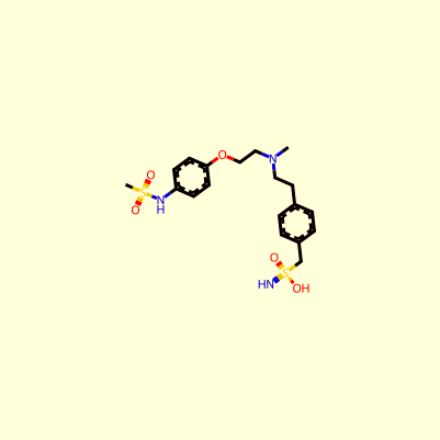 CN(CCOc1ccc(NS(C)(=O)=O)cc1)CCc1ccc(CS(=N)(=O)O)cc1